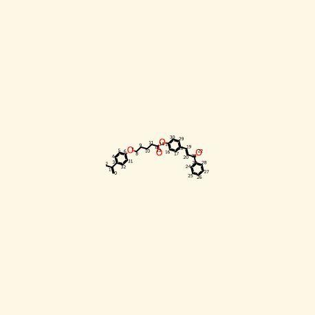 C=C(C)c1ccc(OCCCCC(=O)Oc2ccc(C=CC(=O)c3ccccc3)cc2)cc1